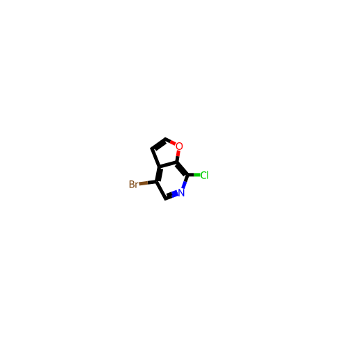 Clc1ncc(Br)c2ccoc12